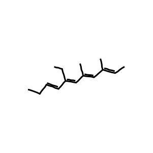 C/C=C(C)/C=C(C)/C=C(/C=C/CC)CC